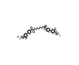 O=C(CCCCCCCC(=O)C(=O)c1ccc(-c2ccc(OC(F)(F)F)c(F)c2)cc1)Oc1ccc(-c2ccc(OC(F)(F)F)c(F)c2)cc1